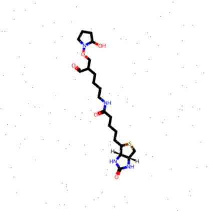 O=CC(CCCCNC(=O)CCCCC1SC[C@@H]2NC(=O)N[C@H]12)CON1CCCC1O